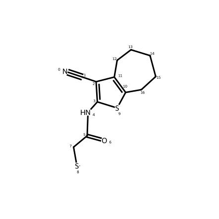 N#Cc1c(NC(=O)C[S])sc2c1CCCCC2